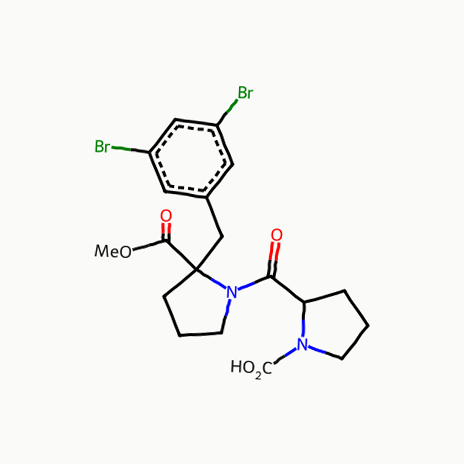 COC(=O)C1(Cc2cc(Br)cc(Br)c2)CCCN1C(=O)C1CCCN1C(=O)O